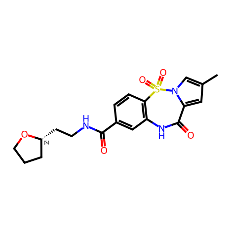 Cc1cc2n(c1)S(=O)(=O)c1ccc(C(=O)NCC[C@@H]3CCCO3)cc1NC2=O